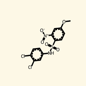 COc1ccc(S(=O)(=O)Nc2ccc(Cl)c(Cl)c2)c([N+](=O)[O-])c1